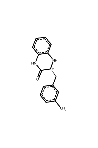 Cc1cccc(C[C@H]2Nc3ccccc3NC2=O)c1